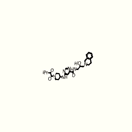 CC(C)C(=O)C(=O)N1CCC(Nc2cc(C(=O)NCC(O)CN3CCc4ccccc4C3)ncn2)CC1